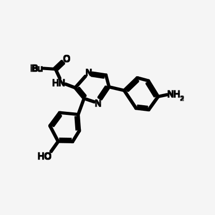 CCC(C)C(=O)Nc1ncc(-c2ccc(N)cc2)nc1-c1ccc(O)cc1